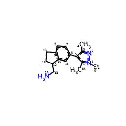 CCn1nc(C)c(-c2ccc3c(c2)C(CN)CC3)c1C